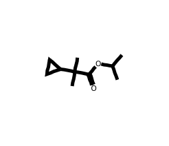 CC(C)OC(=O)C(C)(C)C1CC1